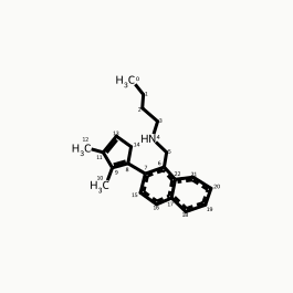 CCCCNCc1c(C2=C(C)C(C)=CC2)ccc2ccccc12